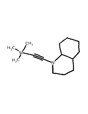 C[Si](C)(C)C#CN1CCCC2CCCCC21